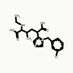 CCNC(C(=O)O)C(C)CC(C(=O)O)c1cncn1Cc1cccc(Cl)c1